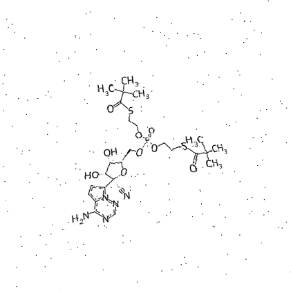 CC(C)(C)C(=O)SCCOP(=O)(OCCSC(=O)C(C)(C)C)OC[C@H]1O[C@@](C#N)(c2ccc3c(N)ncnn23)[C@H](O)[C@@H]1O